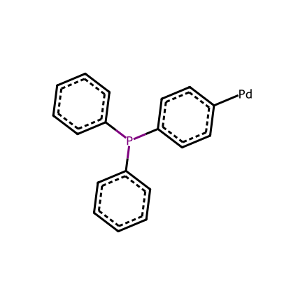 [Pd][c]1ccc(P(c2ccccc2)c2ccccc2)cc1